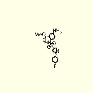 COC(=O)c1cc(N)ccc1NS(=O)(=O)c1cnn(-c2ccc(F)cc2)c1